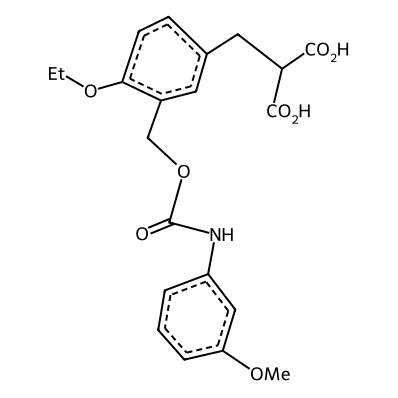 CCOc1ccc(CC(C(=O)O)C(=O)O)cc1COC(=O)Nc1cccc(OC)c1